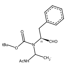 [CH2]C(NC(C)=O)N(C(=O)OC(C)(C)C)[C@H](C=O)Cc1ccccc1